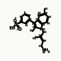 CCS(=O)(=O)c1cccc(-c2c(C)n(C/C(F)=C/CN)c3ccc(C)nc23)c1